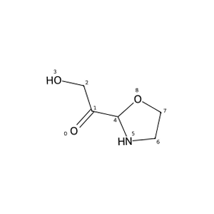 O=C(CO)C1NCCO1